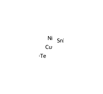 [Cu].[Ni].[Sn].[Te]